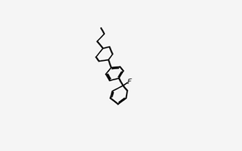 CCCC1CCC(c2ccc(C3(F)C=CC=CC3)cc2)CC1